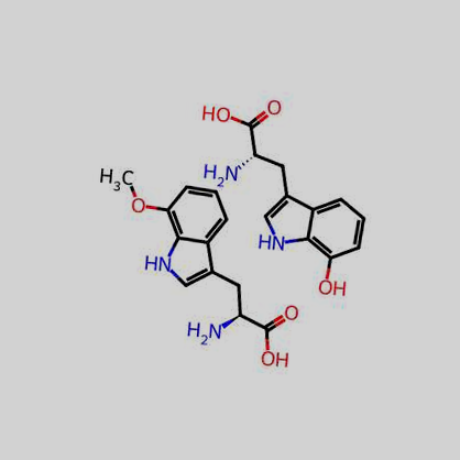 COc1cccc2c(C[C@H](N)C(=O)O)c[nH]c12.N[C@@H](Cc1c[nH]c2c(O)cccc12)C(=O)O